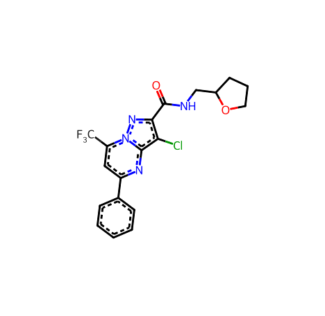 O=C(NCC1CCCO1)c1nn2c(C(F)(F)F)cc(-c3ccccc3)nc2c1Cl